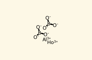 [Al+3].[Ho+3].[O-]B([O-])[O-].[O-]B([O-])[O-]